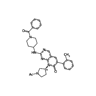 CC(=O)N1CC[C@H](n2c(=O)c(-c3ccccc3C)cc3cnc(NC4CCN(C(=O)c5ccccc5)CC4)nc32)C1